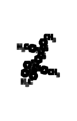 Cc1ccc(-n2c3c(c4sc5cc6c(cc5c42)sc2c4sc5cc(C)ccc5c4n(-c4ccc(C)cc4)c62)[Si](c2ccccc2)(c2ccccc2)c2cc(C)ccc2-3)cc1